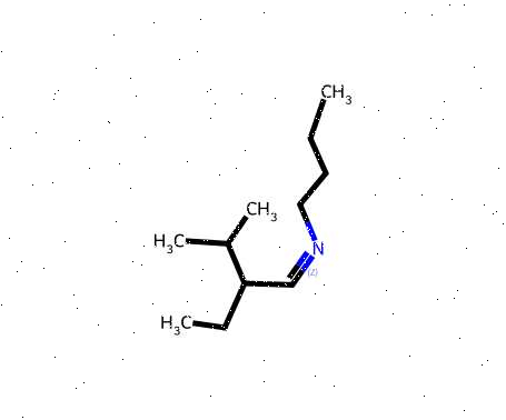 CCCC/N=C\C(CC)C(C)C